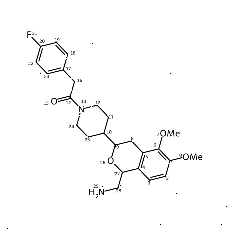 COc1ccc2c(c1OC)CC(C1CCN(C(=O)Cc3ccc(F)cc3)CC1)OC2CN